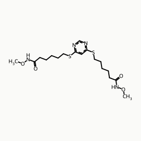 CONC(=O)CCCCCSc1cc(SCCCCCC(=O)NOC)ncn1